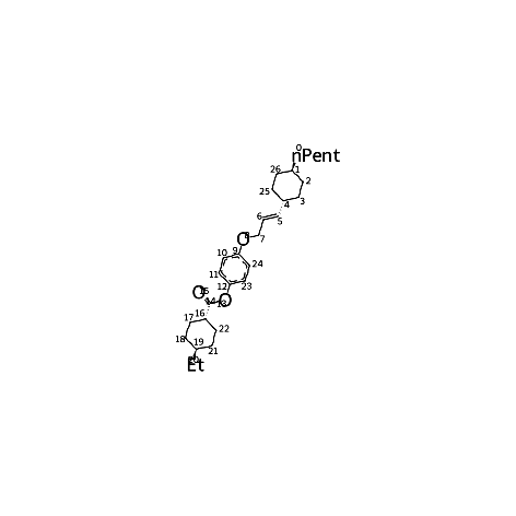 CCCCC[C@H]1CC[C@H](/C=C/COc2ccc(OC(=O)[C@H]3CC[C@H](CC)CC3)cc2)CC1